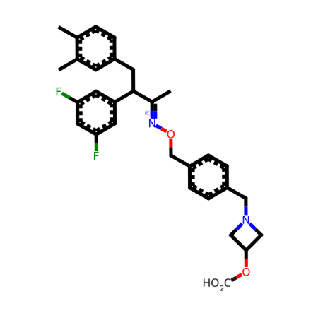 C/C(=N\OCc1ccc(CN2CC(OC(=O)O)C2)cc1)C(Cc1ccc(C)c(C)c1)c1cc(F)cc(F)c1